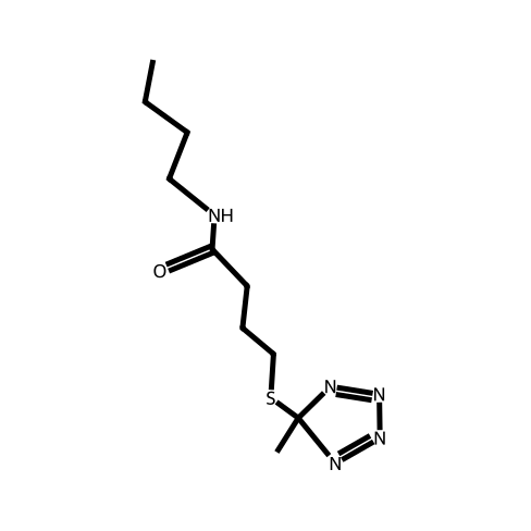 CCCCNC(=O)CCCSC1(C)N=NN=N1